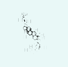 CC(C)(CC(=O)O)CC(=O)O[C@H]1CC[C@@]2(C)C(CC[C@]3(C)C2CC[C@@H]2[C@H]4CCC[C@]4(CC(=O)NNC(=O)OC(C)(C)C)CC[C@]23C)C1(C)C